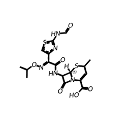 CC(C)ON=C(C(=O)NC1C(=O)N2C(C(=O)O)=CC(C)S[C@@H]12)c1csc(NC=O)n1